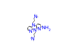 CN(C)CCCN1c2cccnc2N(CCCN(C)C)c2nc(N)ccc21